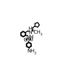 C[C@@H](CC1CCCC1)NCc1ccccc1NS(=O)(=O)c1ccc(N)cc1